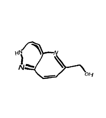 OCc1ccc2n[nH]cc2n1